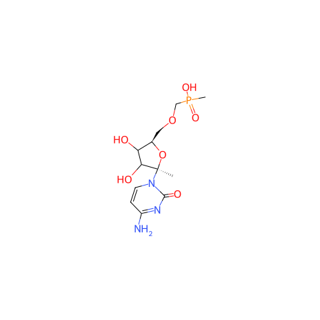 C[C@@]1(n2ccc(N)nc2=O)O[C@H](COCP(C)(=O)O)C(O)C1O